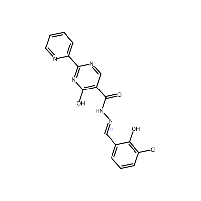 O=C(N/N=C/c1cccc(Cl)c1O)c1cnc(-c2ccccn2)nc1O